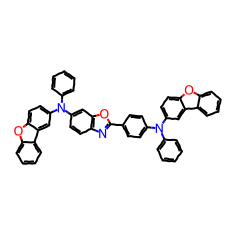 c1ccc(N(c2ccc(-c3nc4ccc(N(c5ccccc5)c5ccc6oc7ccccc7c6c5)cc4o3)cc2)c2ccc3oc4ccccc4c3c2)cc1